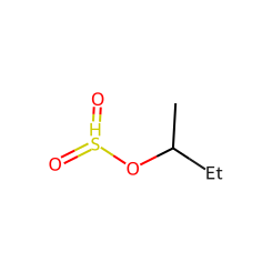 [CH2]CC(C)O[SH](=O)=O